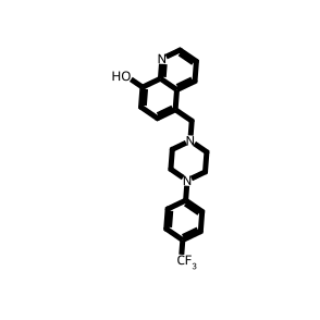 Oc1ccc(CN2CCN(c3ccc(C(F)(F)F)cc3)CC2)c2cccnc12